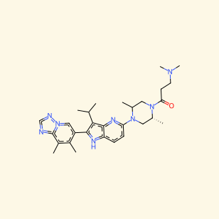 Cc1c(-c2[nH]c3ccc(N4C[C@@H](C)N(C(=O)CCN(C)C)CC4C)nc3c2C(C)C)cn2ncnc2c1C